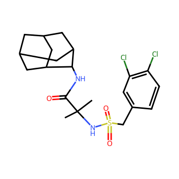 CC(C)(NS(=O)(=O)Cc1ccc(Cl)c(Cl)c1)C(=O)NC1C2CC3CC(C2)CC1C3